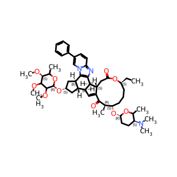 CC[C@H]1CCC[C@H](O[C@H]2CC[C@H](N(C)C)C(C)O2)[C@@H](C)C(=O)C2=C[C@H]3[C@@H]4C[C@H](O[C@@H]5OC(C)[C@H](OC)C(OC)C5OC)C[C@H]4c4c(nc5ccc(-c6ccccc6)cn45)[C@H]3[C@@H]2CC(=O)O1